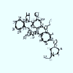 CCOc1cc(OC2CCN(CC)C2)ccc1Nc1ncc(Cl)c(Nc2ccccc2SN(C)C)n1